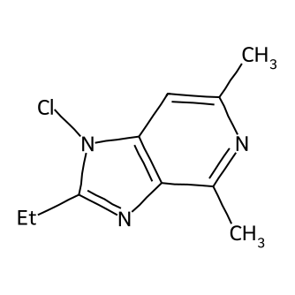 CCc1nc2c(C)nc(C)cc2n1Cl